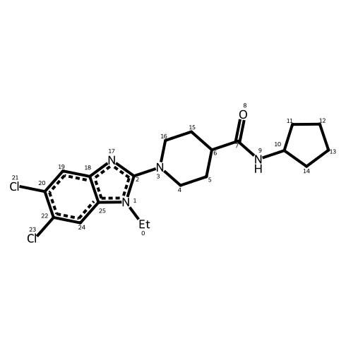 CCn1c(N2CCC(C(=O)NC3CCCC3)CC2)nc2cc(Cl)c(Cl)cc21